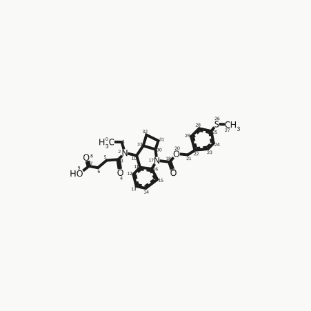 CCN(C(=O)CCC(=O)O)C1c2ccccc2N(C(=O)OCc2ccc(SC)cc2)C2CCC12